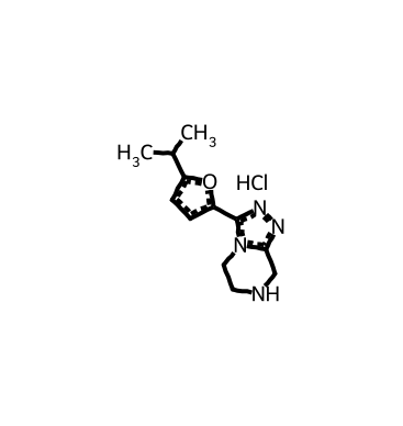 CC(C)c1ccc(-c2nnc3n2CCNC3)o1.Cl